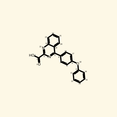 O=C(O)c1nc(-c2ccc(Oc3ccccc3)cc2)c2ccccc2n1